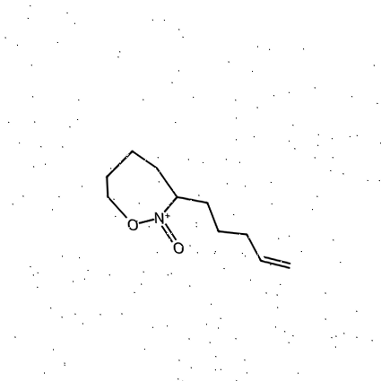 C=CCCCC1CCCCO[N+]1=O